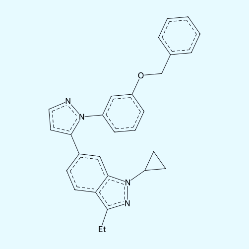 CCc1nn(C2CC2)c2cc(-c3ccnn3-c3cccc(OCc4ccccc4)c3)ccc12